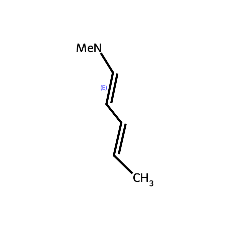 CC=C/C=C/NC